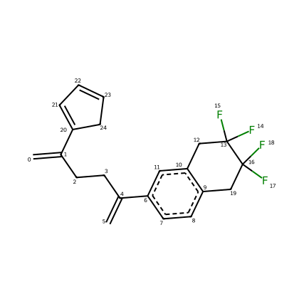 C=C(CCC(=C)c1ccc2c(c1)CC(F)(F)C(F)(F)C2)C1=CC=CC1